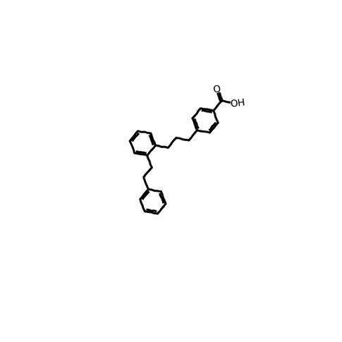 O=C(O)c1ccc(CCCc2ccccc2CCc2ccccc2)cc1